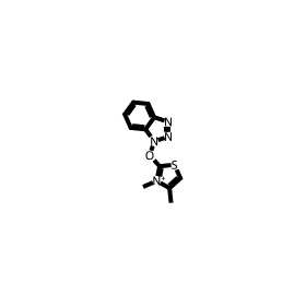 Cc1csc(On2nnc3ccccc32)[n+]1C